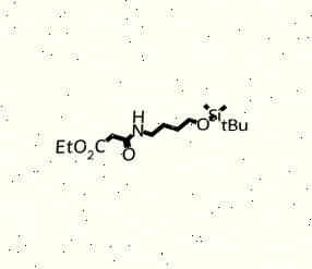 CCOC(=O)CC(=O)NCCCCO[Si](C)(C)C(C)(C)C